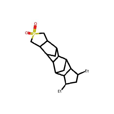 CCC1CC(CC)C2C3CC(C12)C1C2CC(C4CS(=O)(=O)CC42)C31